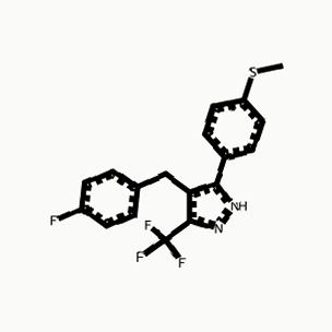 CSc1ccc(-c2[nH]nc(C(F)(F)F)c2Cc2ccc(F)cc2)cc1